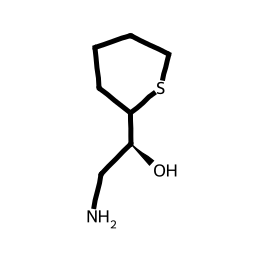 NC[C@H](O)C1CCCCS1